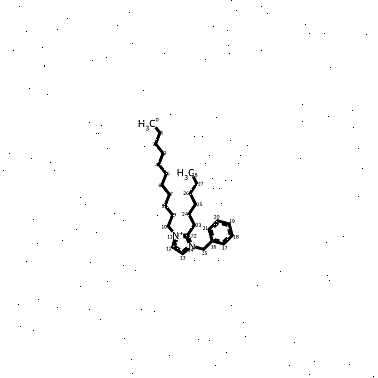 CCCCCCCCCCC[n+]1ccn(Cc2ccccc2)c1CCCCCC